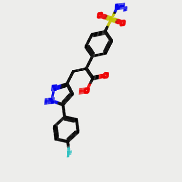 NS(=O)(=O)c1ccc(C(Cc2cc(-c3ccc(F)cc3)[nH]n2)C(=O)O)cc1